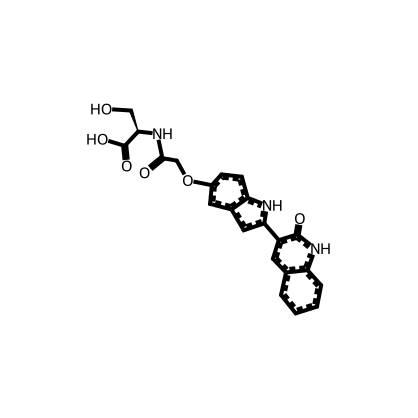 O=C(COc1ccc2[nH]c(-c3cc4ccccc4[nH]c3=O)cc2c1)N[C@H](CO)C(=O)O